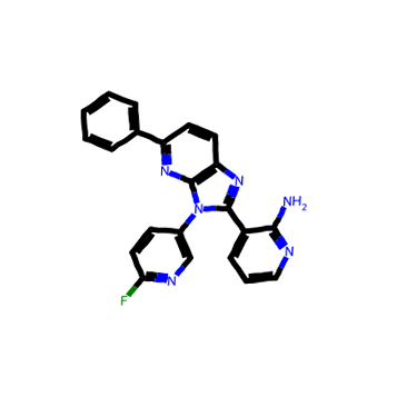 Nc1ncccc1-c1nc2ccc(-c3ccccc3)nc2n1-c1ccc(F)nc1